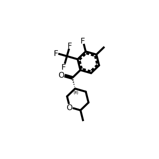 Cc1ccc(C(=O)[C@@H]2CCC(C)OC2)c(C(F)(F)F)c1F